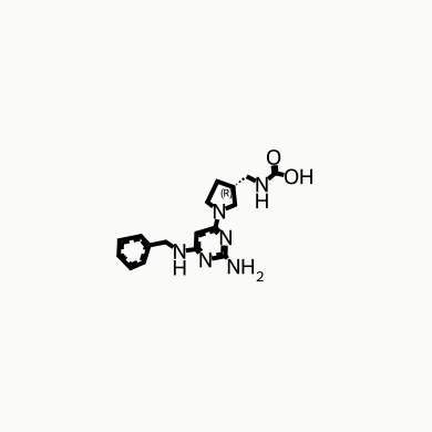 Nc1nc(NCc2ccccc2)cc(N2CC[C@H](CNC(=O)O)C2)n1